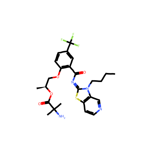 CCCCn1c(=NC(=O)c2cc(C(F)(F)F)ccc2OC[C@H](C)OC(=O)C(C)(C)N)sc2ccncc21